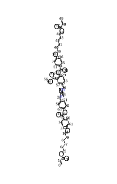 C=CC(=O)OCCCCCCOc1ccc(C(=O)Oc2ccc(/C=N/N=C/c3ccc(OC(=O)c4ccc(OCCCCCCOC(=O)C=C)cc4)c(C(=O)OC)c3)cc2)cc1